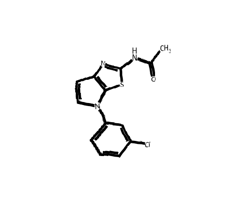 CC(=O)Nc1nc2ccn(-c3cccc(Cl)c3)c2s1